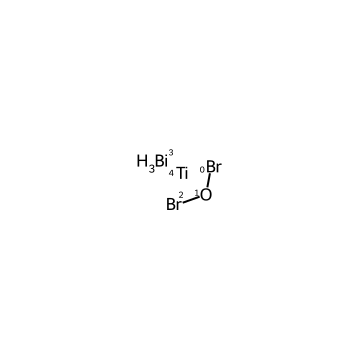 BrOBr.[BiH3].[Ti]